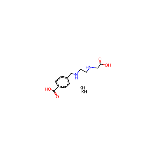 O=C(O)CNCCNCc1ccc(C(=O)O)cc1.[KH].[KH]